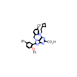 CCOc1ccc(C(C)C)cc1-c1nc2nc(C(=O)O)nc(NCCC3CCC3)c2n1Cc1ccc(C(F)(F)F)cc1